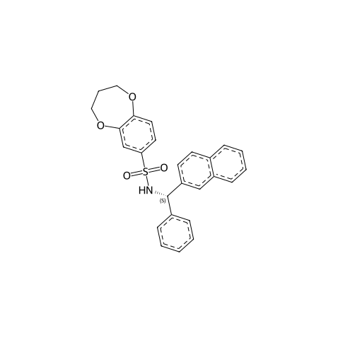 O=S(=O)(N[C@@H](c1ccccc1)c1ccc2ccccc2c1)c1ccc2c(c1)OCCCO2